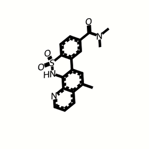 Cc1cc2c(c3ncccc13)NS(=O)(=O)c1ccc(C(=O)N(C)C)cc1-2